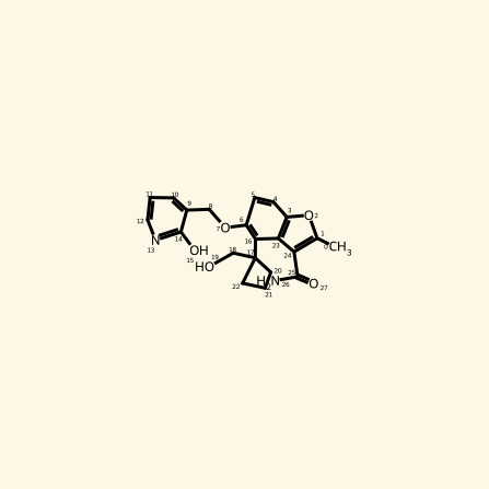 Cc1oc2ccc(OCc3cccnc3O)c(C3(CO)CCC3)c2c1C(N)=O